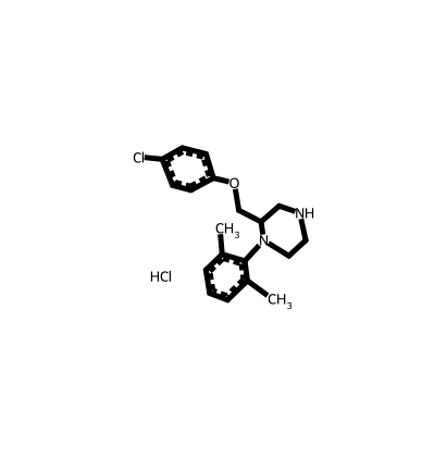 Cc1cccc(C)c1N1CCNCC1COc1ccc(Cl)cc1.Cl